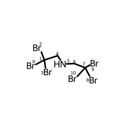 BrC(Br)(Br)CNCC(Br)(Br)Br